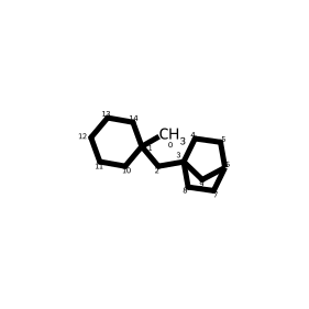 CC1(CC23CCC(CC2)C3)CCCCC1